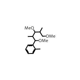 COCC(C)C(OC)C(C)C(OC)c1ccccc1C